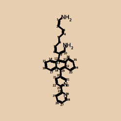 N/C=C\C=C/CC/C=C\C(=C/N)c1c2ccccc2c(-c2ccc(-c3ccccn3)nc2)c2ccccc12